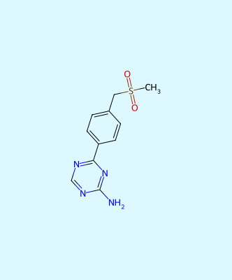 CS(=O)(=O)Cc1ccc(-c2ncnc(N)n2)cc1